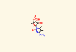 Cc1c(N)nc(=O)n([C@@H]2O[C@](C)(CO)[C@@H](O)[C@H]2O)c1C